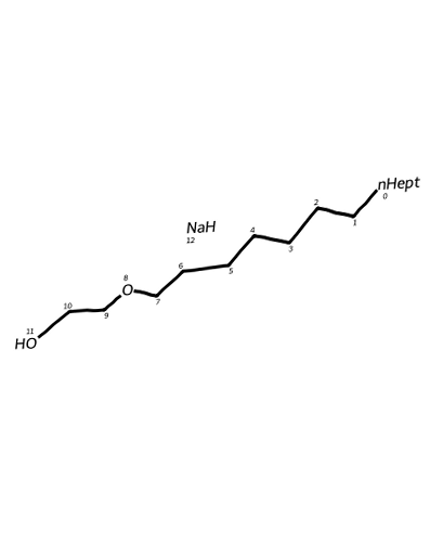 CCCCCCCCCCCCCCOCCO.[NaH]